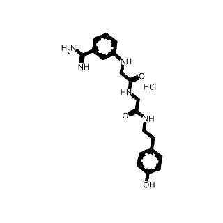 Cl.N=C(N)c1cccc(NCC(=O)NCC(=O)NCCc2ccc(O)cc2)c1